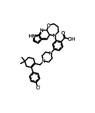 CC1(C)CCC(CN2CCN(c3ccc(C(=O)O)c(N4CCCOC5N=c6[nH]ccc6=CC54)c3)CC2)=C(c2ccc(Cl)cc2)C1